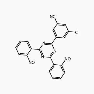 N#Cc1cc(Cl)cc(-c2nc(-c3ccccc3N=O)nc(-c3ccccc3N=O)n2)c1